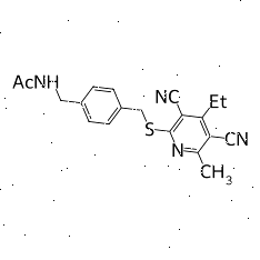 CCc1c(C#N)c(C)nc(SCc2ccc(CNC(C)=O)cc2)c1C#N